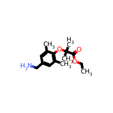 CCOC(=O)C(C)(C)Oc1c(C)cc(CN)cc1C